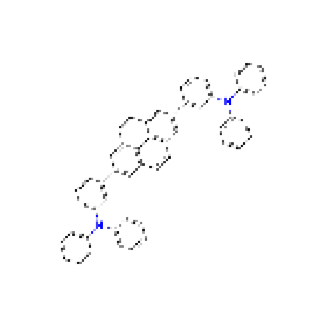 c1ccc(N(c2ccccc2)c2cccc(-c3cc4ccc5cc(-c6cccc(N(c7ccccc7)c7ccccc7)c6)cc6ccc(c3)c4c56)c2)cc1